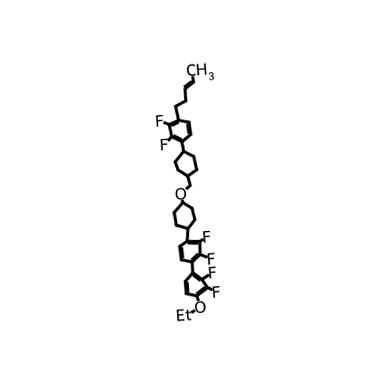 C/C=C/CCc1ccc(C2CCC(COC3CCC(c4ccc(-c5ccc(OCC)c(F)c5F)c(F)c4F)CC3)CC2)c(F)c1F